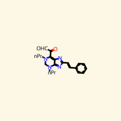 CCCN1CN(CCC)C(C(=O)C=O)=C2N=C(C=Cc3ccccc3)N=C21